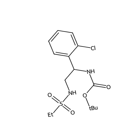 CCS(=O)(=O)NCC(NC(=O)OC(C)(C)C)c1ccccc1Cl